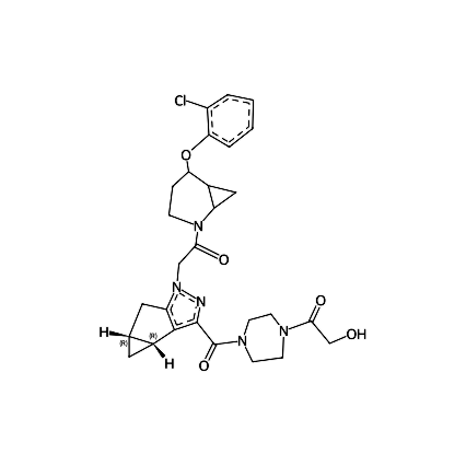 O=C(CO)N1CCN(C(=O)c2nn(CC(=O)N3CCC(Oc4ccccc4Cl)C4CC43)c3c2[C@@H]2C[C@@H]2C3)CC1